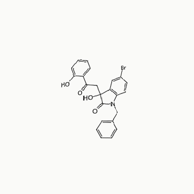 O=C(CC1(O)C(=O)N(Cc2ccccc2)c2ccc(Br)cc21)c1ccccc1O